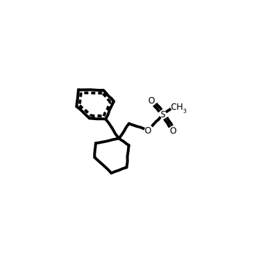 CS(=O)(=O)OCC1(c2ccccc2)CCCCC1